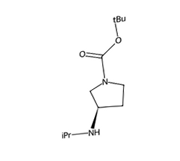 CC(C)N[C@@H]1CCN(C(=O)OC(C)(C)C)C1